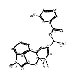 COC(OC(=O)c1cncc(Br)c1)[C@@H]1C=C2c3cccc4c3C(C[C@H]2N(C)C1)CN4C